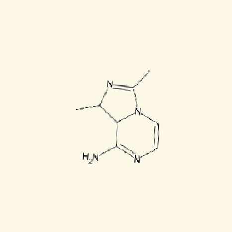 CC1=NC(C)C2C(N)=NC=CN12